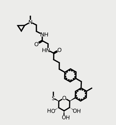 CS[C@H]1O[C@@H](c2ccc(C)c(Cc3ccc(CCCC(=O)NCC(=O)NCCN(C)C4CC4)cc3)c2)[C@H](O)[C@@H](O)[C@@H]1O